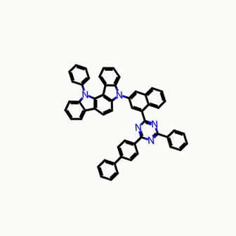 c1ccc(-c2ccc(-c3nc(-c4ccccc4)nc(-c4cc(-n5c6ccccc6c6c5ccc5c7ccccc7n(-c7ccccc7)c56)cc5ccccc45)n3)cc2)cc1